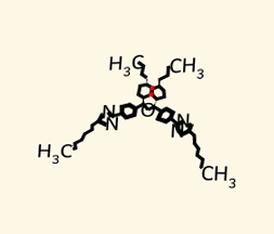 CCCCCCCc1cnc(-c2ccc(C(OC(c3ccc(-c4ncc(CCCCCCC)cn4)cc3)[C@H]3CC[C@H](CCCC)CC3)[C@H]3CC[C@H](CCCC)CC3)cc2)nc1